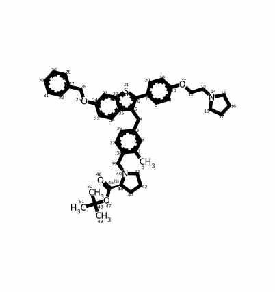 Cc1cc(Cc2c(-c3ccc(OCCN4CCCC4)cc3)sc3cc(OCc4ccccc4)ccc23)ccc1CN1CCC[C@H]1C(=O)OC(C)(C)C